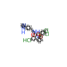 Cl.O=C(CC1c2ccccc2-c2ccccc2N1S(=O)(=O)c1ccc(Cl)c(Cl)c1)NCCc1ccc(C2=NCCN2)cc1